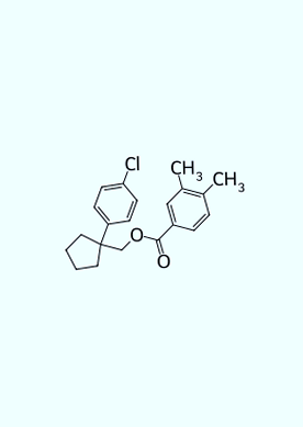 Cc1ccc(C(=O)OCC2(c3ccc(Cl)cc3)CCCC2)cc1C